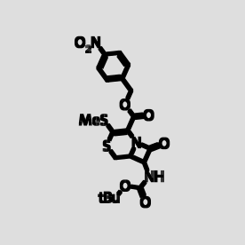 CSC1=C(C(=O)OCc2ccc([N+](=O)[O-])cc2)N2C(=O)C(NC(=O)OC(C)(C)C)C2CS1